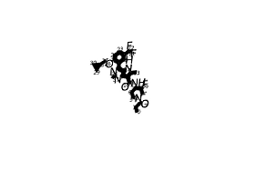 CCC(=O)N1CC[C@H](NC(=O)c2c(C)[nH]c3c(-c4cc(C(F)F)ccc4OCC4CC4)ncnc23)[C@@H](F)C1